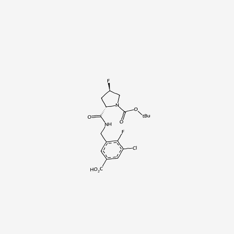 CC(C)(C)OC(=O)N1C[C@H](F)C[C@H]1C(=O)NCc1cc(C(=O)O)cc(Cl)c1F